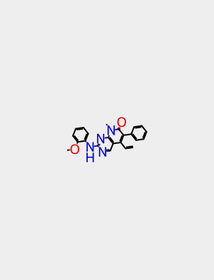 C=Cc1c(-c2ccccc2)c(=O)n(C)c2nc(Nc3ccccc3OC)ncc12